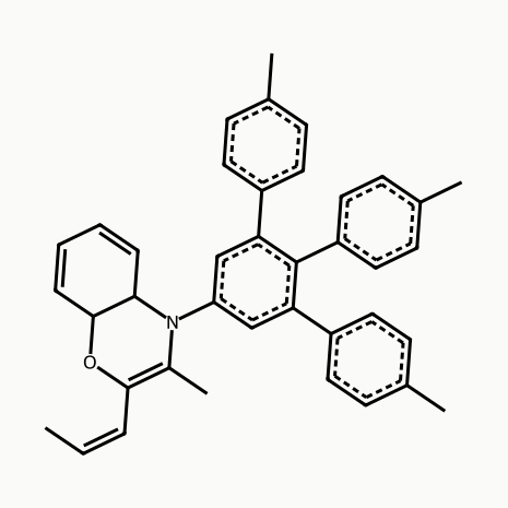 C/C=C\C1=C(C)N(c2cc(-c3ccc(C)cc3)c(-c3ccc(C)cc3)c(-c3ccc(C)cc3)c2)C2C=CC=CC2O1